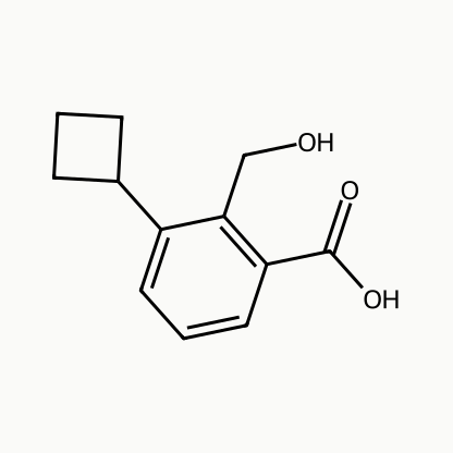 O=C(O)c1cccc(C2CCC2)c1CO